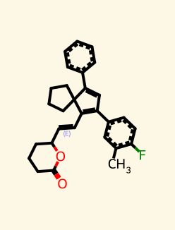 Cc1cc(C2=C(/C=C/C3CCCC(=O)O3)C3(CCCC3)C(c3ccccc3)=C2)ccc1F